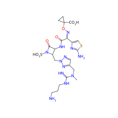 CN(Cc1cnn(CC2C(NC(=O)/C(=N\OC3(C(=O)O)CC3)c3csc(N)n3)C(=O)N2S(=O)(=O)O)n1)C(=N)NCCCN